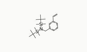 C=Cc1cccc(CN([Si](C)(C)C(C)(C)C)[Si](C)(C)C(C)(C)C)c1